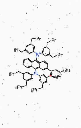 CC(C)CC1=CC(N(c2cc(CC(C)C)cc(CC(C)C)c2)c2c3ccccc3c(N(c3cc(CC(C)C)cc(CC(C)C)c3)c3cc(CC(C)C)cc(CC(C)C)c3)c3cc(-c4cccc(C(C)(C)C)c4)ccc23)=CC(CC(C)C)C1